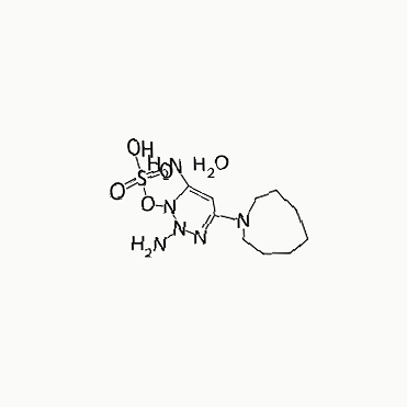 NC1=CC(N2CCCCCCC2)=NN(N)N1OS(=O)(=O)O.O